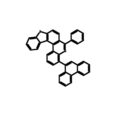 c1ccc(-c2nc3c(-c4cc5ccccc5c5ccccc45)cccc3c3c2ccc2sc4ccccc4c23)cc1